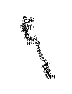 CN(CCOCCOCCOCCOCCN(C)c1ccc2c(c1)ON(C1CCONO1)O2)C(=O)c1cc2cc(N3CC[C@@](O)(C(=O)NCc4cc(F)cc(F)c4)O3)ccc2[nH]1